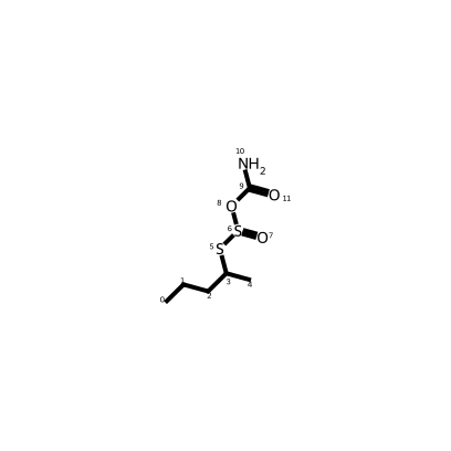 CCCC(C)SS(=O)OC(N)=O